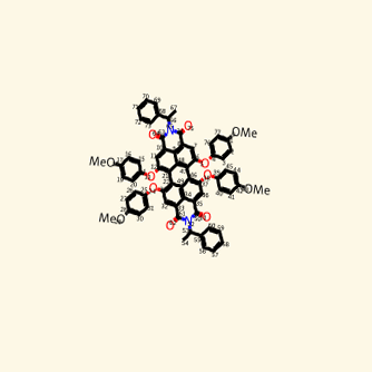 COc1ccc(Oc2cc3c4c(cc(Oc5ccc(OC)cc5)c5c6c(Oc7ccc(OC)cc7)cc7c8c(cc(Oc9ccc(OC)cc9)c(c2c45)c86)C(=O)N(C(C)c2ccccc2)C7=O)C(=O)N(C(C)c2ccccc2)C3=O)cc1